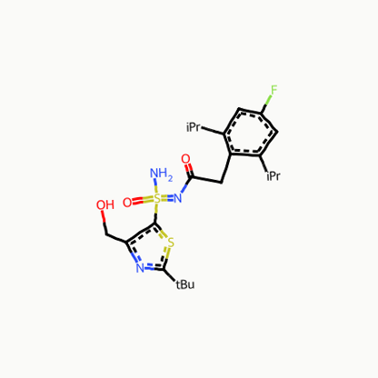 CC(C)c1cc(F)cc(C(C)C)c1CC(=O)N=S(N)(=O)c1sc(C(C)(C)C)nc1CO